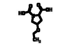 CCOC1CC(C(=O)O)N(C(=O)O)C1